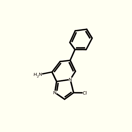 Nc1cc(-c2ccccc2)cn2c(Cl)cnc12